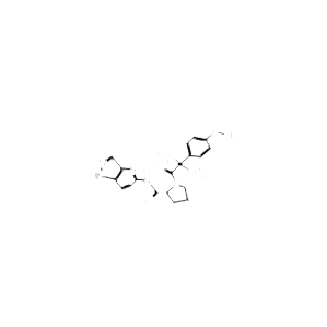 CC(C)(C(=O)N1C[C@H](F)C[C@@H]1C(=O)Nc1ccc2[nH]ncc2n1)c1ccc(OC(F)(F)F)cc1